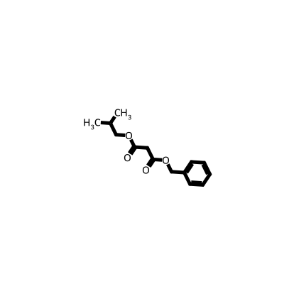 CC(C)COC(=O)CC(=O)OCc1ccccc1